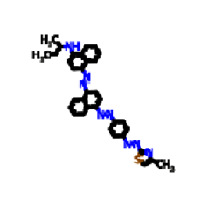 CCC(C)Nc1ccc(/N=N/c2ccc(/N=N/c3ccc(/N=N/c4nc(C)cs4)cc3)c3ccccc23)c2ccccc12